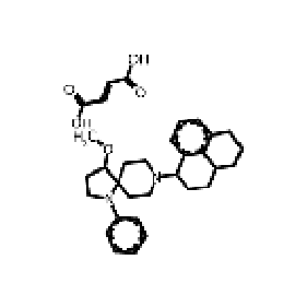 COC1CCN(c2ccccc2)C12CCN(C1CCC3CCCc4cccc1c43)CC2.O=C(O)C=CC(=O)O